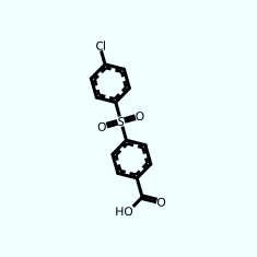 O=C(O)c1ccc(S(=O)(=O)c2ccc(Cl)cc2)cc1